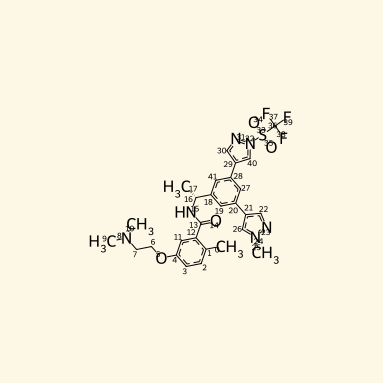 Cc1ccc(OCCN(C)C)cc1C(=O)N[C@H](C)c1cc(-c2cnn(C)c2)cc(-c2cnn(S(=O)(=O)C(F)(F)F)c2)c1